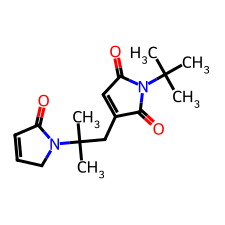 CC(C)(C)N1C(=O)C=C(CC(C)(C)N2CC=CC2=O)C1=O